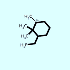 C[C@@H]1CCCC(CP)C1(C)C